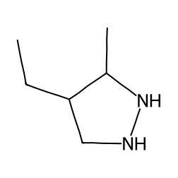 CCC1CNNC1C